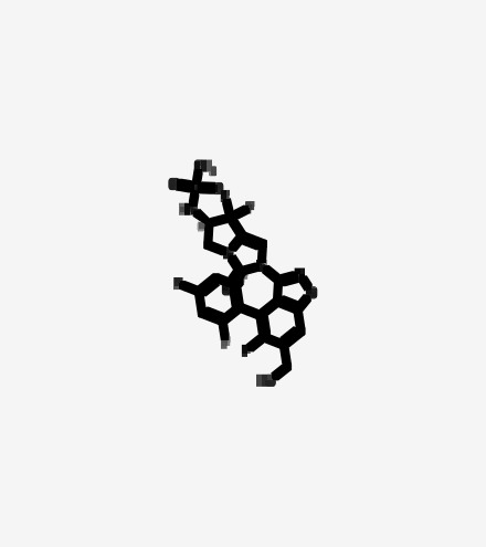 CS(=O)(=O)N[C@@H]1Cn2c(cn(-c3noc4cc(CO)c(F)c(-c5c(F)cc(F)cc5F)c34)c2=O)C1(F)F